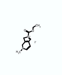 CCOC(=O)[N+]1=CC2=C(CN(C)C=C2)C1.[I-]